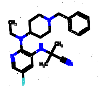 CCN(c1ncc(F)cc1NC(C)(C)C#N)C1CCN(Cc2ccccc2)CC1